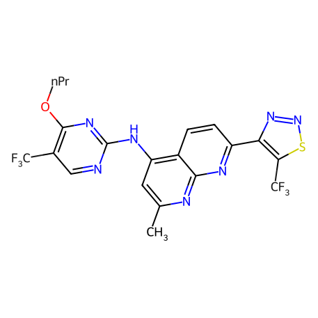 CCCOc1nc(Nc2cc(C)nc3nc(-c4nnsc4C(F)(F)F)ccc23)ncc1C(F)(F)F